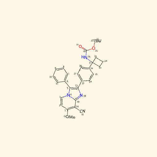 COc1ccn2c(-c3ccccc3)c(-c3ccc(C4(NC(=O)OC(C)(C)C)CCC4)cc3)nc2c1C#N